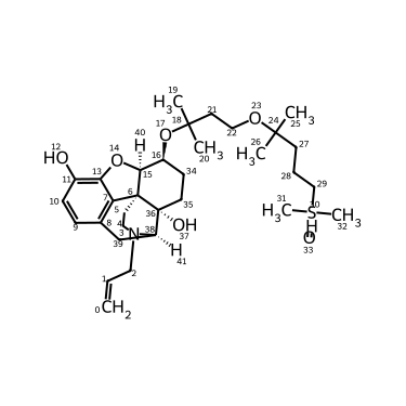 C=CCN1CC[C@]23c4c5ccc(O)c4O[C@H]2[C@@H](OC(C)(C)CCOC(C)(C)CCC[SH](C)(C)=O)CC[C@@]3(O)[C@H]1C5